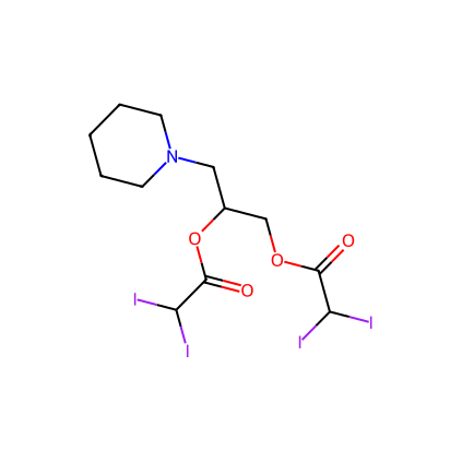 O=C(OCC(CN1CCCCC1)OC(=O)C(I)I)C(I)I